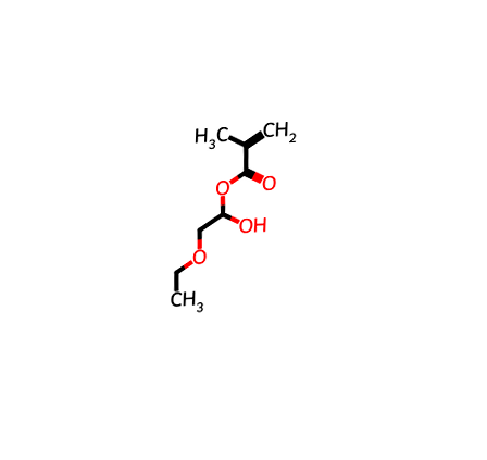 C=C(C)C(=O)OC(O)COCC